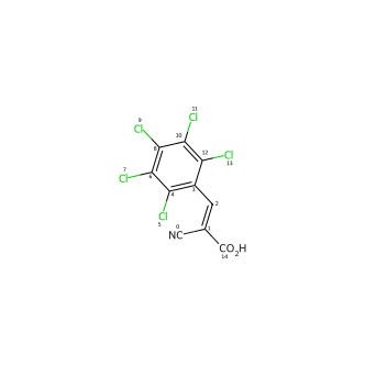 N#C/C(=C\c1c(Cl)c(Cl)c(Cl)c(Cl)c1Cl)C(=O)O